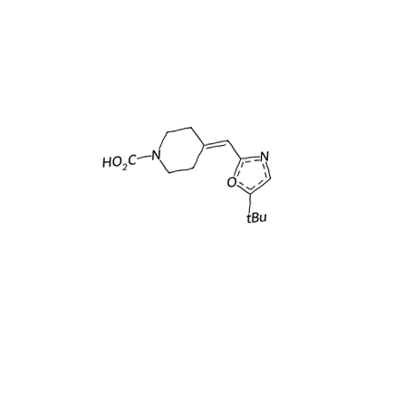 CC(C)(C)c1cnc(C=C2CCN(C(=O)O)CC2)o1